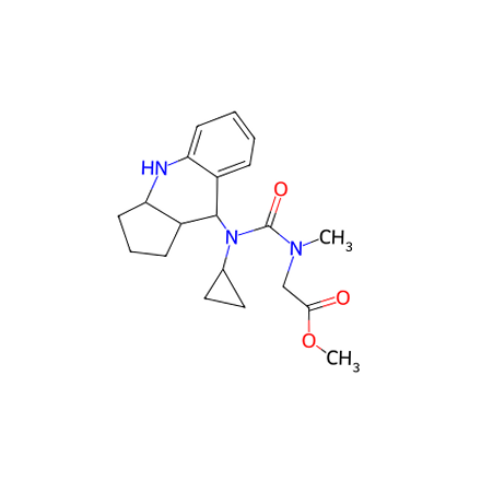 COC(=O)CN(C)C(=O)N(C1CC1)C1c2ccccc2NC2CCCC21